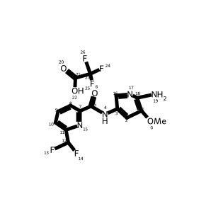 COc1cc(NC(=O)c2cccc(C(F)F)n2)cnc1N.O=C(O)C(F)(F)F